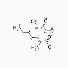 NCCCCC(N)C(=O)O.O=C(CCl)CCl